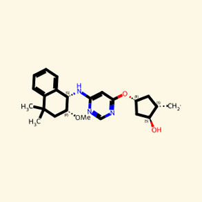 [CH2][C@H]1C[C@@H](Oc2cc(N[C@H]3c4ccccc4C(C)(C)C[C@H]3OC)ncn2)C[C@@H]1O